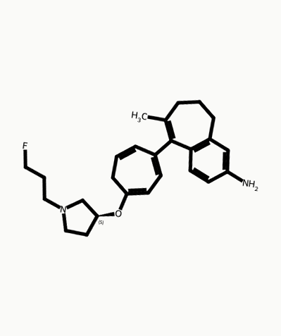 CC1=C(C2=CC=C(O[C@H]3CCN(CCCF)C3)CC=C2)c2ccc(N)cc2CCC1